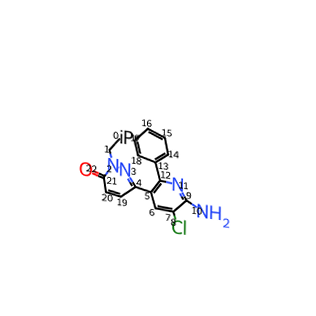 CC(C)Cn1nc(-c2cc(Cl)c(N)nc2-c2ccccc2)ccc1=O